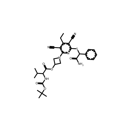 CCc1c(C#N)c(SC(C(N)=O)c2ccccc2)nc(N2CC(OC(=O)C(NC(=O)OC(C)(C)C)C(C)C)C2)c1C#N